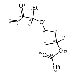 C=CC(=O)C(C)(CC)OCCC(C)(C)OC(=O)CCC